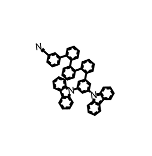 N#Cc1cccc(-c2ccccc2-c2ccccc2-c2ccccc2-c2cc(-n3c4ccccc4c4ccccc43)cc(-n3c4ccccc4c4ccccc43)c2)c1